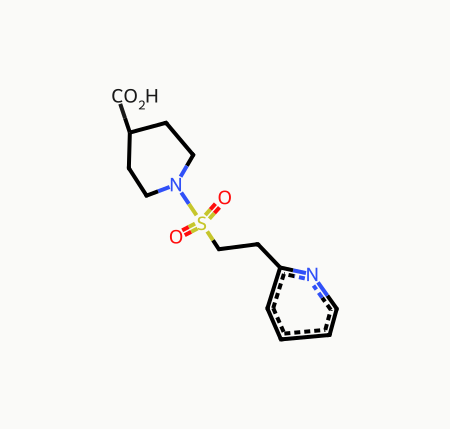 O=C(O)C1CCN(S(=O)(=O)CCc2ccccn2)CC1